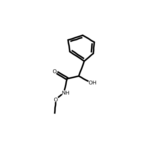 CONC(=O)C(O)c1ccccc1